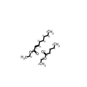 CCCCC(=O)OCC.CCCCC/C=C/C(=O)OCC